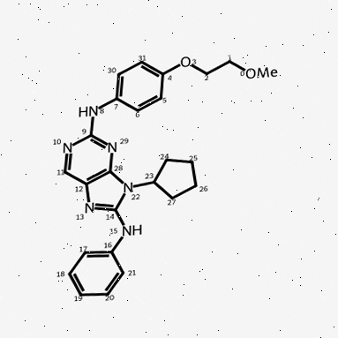 COCCOc1ccc(Nc2ncc3nc(Nc4ccccc4)n(C4CCCC4)c3n2)cc1